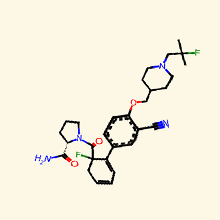 CC(C)(F)CN1CCC(COc2ccc(C3=CC=CCC3(F)C(=O)N3CCC[C@H]3C(N)=O)cc2C#N)CC1